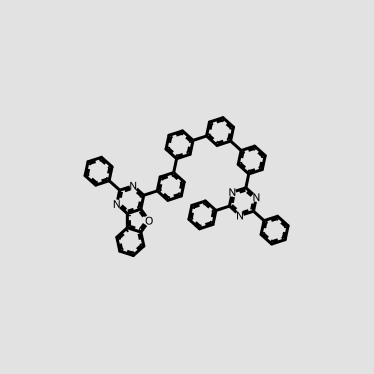 c1ccc(-c2nc(-c3ccccc3)nc(-c3cccc(-c4cccc(-c5cccc(-c6cccc(-c7nc(-c8ccccc8)nc8c7oc7ccccc78)c6)c5)c4)c3)n2)cc1